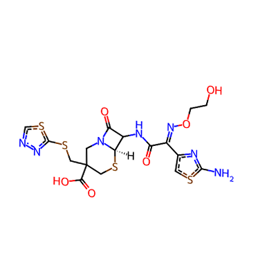 Nc1nc(C(=NOCCO)C(=O)NC2C(=O)N3CC(CSc4nncs4)(C(=O)O)CS[C@H]23)cs1